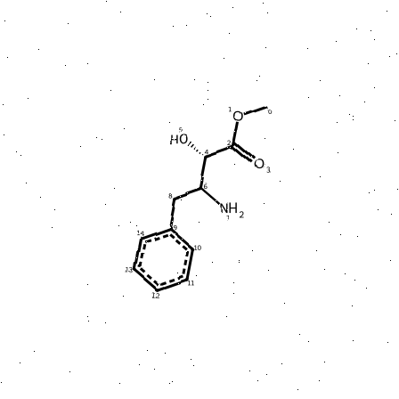 COC(=O)[C@@H](O)C(N)Cc1ccccc1